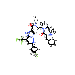 CCN(C(=O)[C@H](N)CC1CCCCC1)[C@@H](C)CN(C)C(=O)c1cn2nc(-c3ccc(F)cc3)cc(C(F)(F)F)c2n1